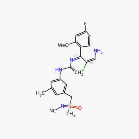 C=C(/N=C(\C(F)=C/N)c1ccc(F)cc1OC)Nc1cc(C)cc(CS(C)(=O)=NC#N)c1